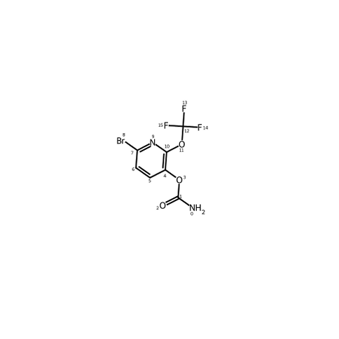 NC(=O)Oc1ccc(Br)nc1OC(F)(F)F